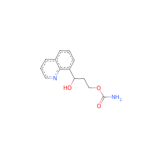 NC(=O)OCCC(O)c1cccc2cccnc12